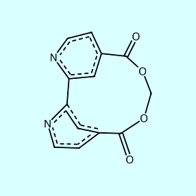 O=C1OCOC(=O)c2ccnc(c2)-c2cc1ccn2